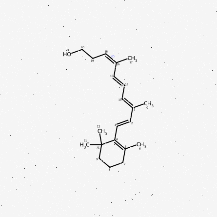 CC(C=CC1=C(C)CCCC1(C)C)=CC=C/C(C)=C\CCO